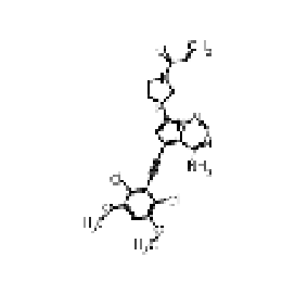 C=CC(=O)N1CC[C@H](c2cc(C#Cc3c(Cl)c(OC)cc(OC)c3Cl)c3c(N)ncnn23)C1